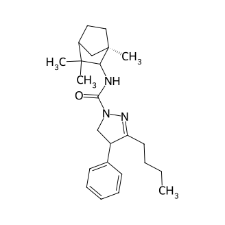 CCCCC1=NN(C(=O)NC2C(C)(C)C3CC[C@]2(C)C3)CC1c1ccccc1